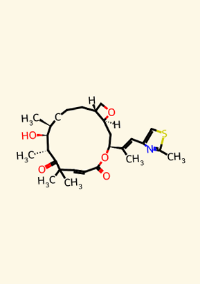 CC(=Cc1csc(C)n1)[C@@H]1C[C@@H]2OC[C@H]2CCC[C@H](C)[C@H](O)[C@@H](C)C(=O)C(C)(C)/C=C/C(=O)O1